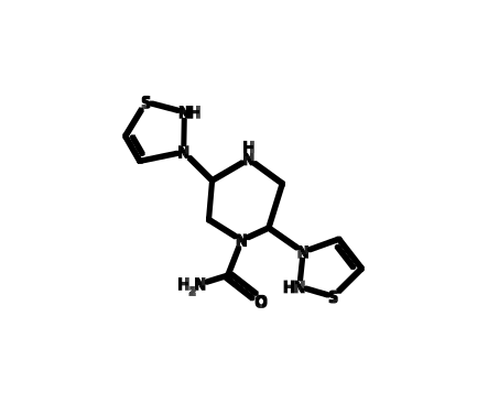 NC(=O)N1CC(N2C=CSN2)NCC1N1C=CSN1